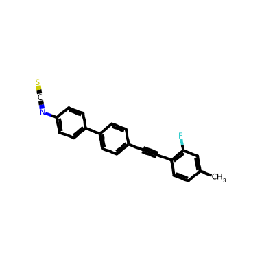 Cc1ccc(C#Cc2ccc(-c3ccc(N=C=S)cc3)cc2)c(F)c1